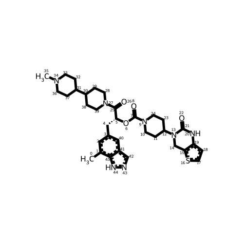 Cc1cc(C[C@@H](OC(=O)N2CCC(N3Cc4sccc4NC3=O)CC2)C(=O)N2CCC(C3CCN(C)CC3)CC2)cc2cn[nH]c12